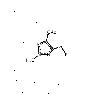 CC(=O)Oc1nn(C)nc1CF